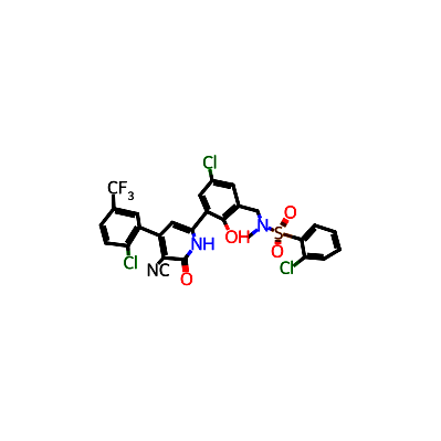 CN(Cc1cc(Cl)cc(-c2cc(-c3cc(C(F)(F)F)ccc3Cl)c(C#N)c(=O)[nH]2)c1O)S(=O)(=O)c1ccccc1Cl